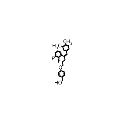 Cc1ccc(/C=C(/CCCOc2ccc(CO)cc2)c2cccc(F)c2F)cc1C